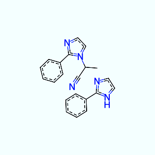 CC(C#N)n1ccnc1-c1ccccc1.c1ccc(-c2ncc[nH]2)cc1